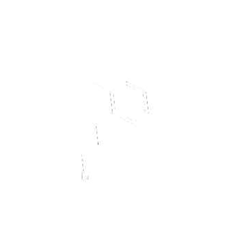 Cc1ccccc1CCCBr